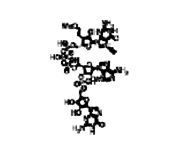 C#C[n+]1cn(C2O[C@H](COP(=O)(O)OP(=O)(O)OP(=O)(O)OC[C@H]3O[C@@H](n4cnc5c(N)ncnc54)[C@H](OC)[C@@H]3OP(=O)(O)OC[C@H]3O[C@@H](n4cnc5c(=O)[nH]c(N)nc54)[C@H](O)[C@@H]3O)[C@@H](CCOC)[C@H]2O)c2nc(N)[nH]c(=O)c21